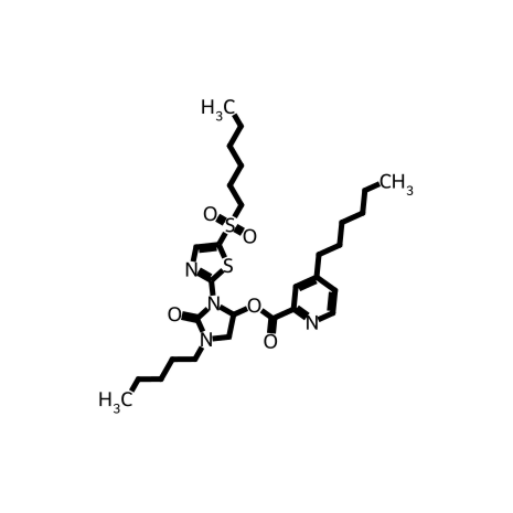 CCCCCCc1ccnc(C(=O)OC2CN(CCCCC)C(=O)N2c2ncc(S(=O)(=O)CCCCCC)s2)c1